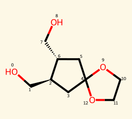 OC[C@@H]1CC2(C[C@H]1CO)OCCO2